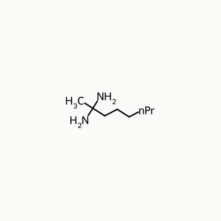 CCCCCCC(C)(N)N